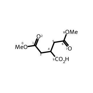 COC(=O)CC(CC(=O)OC)C(=O)O